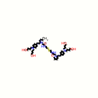 C=C\C=C/C(/C=C/c1ccc(N(CCCCO)CCCCO)cc1)=N/CC(=O)NCCSSCCNC(=O)C[n+]1ccccc1/C=C/c1ccc(N(CCCCO)CCCCO)cc1